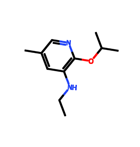 CCNc1cc(C)cnc1OC(C)C